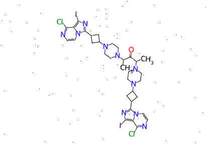 CC(C(=O)C(C)N1CCN(C2CC(c3nc(I)c4c(Cl)nccn34)C2)CC1)N1CCN(C2CC(c3nc(I)c4c(Cl)nccn34)C2)CC1